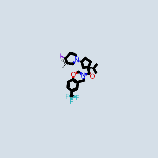 CC(C)[C@]1(C(=O)N2COc3ccc(C(F)(F)F)cc3C2)CC[C@@H](N2CC[C@H](I)[C@@H](C)C2)C1